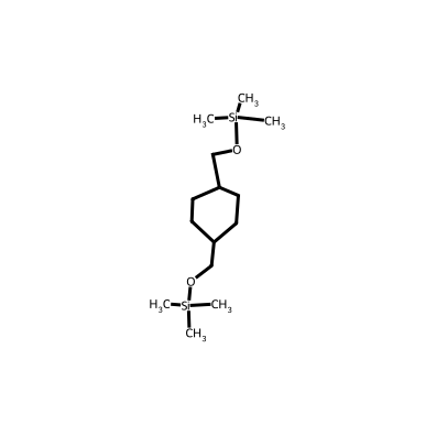 C[Si](C)(C)OCC1CCC(CO[Si](C)(C)C)CC1